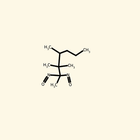 CCCC(C)C(C)(C)C(C)(N=O)N=O